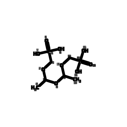 CC(OCP(=O)(O)O)OC(C)OCP(=O)(O)O